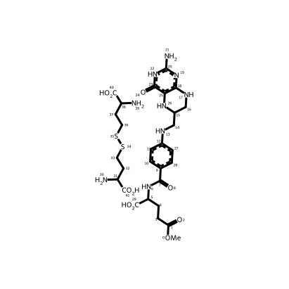 COC(=O)CCC(NC(=O)c1ccc(NCC2CNc3nc(N)[nH]c(=O)c3N2)cc1)C(=O)O.NC(CCSSCCC(N)C(=O)O)C(=O)O